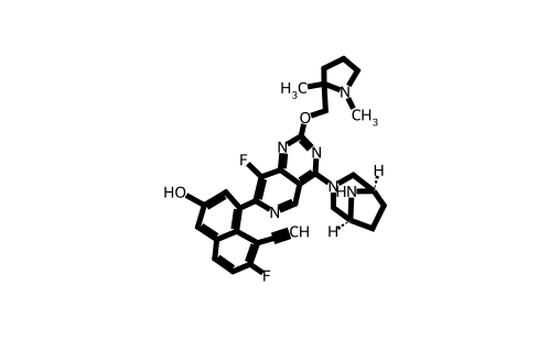 C#Cc1c(F)ccc2cc(O)cc(-c3ncc4c(N5C[C@H]6CC[C@@H](C5)N6)nc(OCC5(C)CCCN5C)nc4c3F)c12